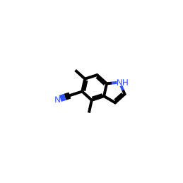 Cc1cc2[nH]ccc2c(C)c1C#N